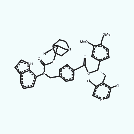 COc1ccc([C@H](Cc2c(Cl)cncc2Cl)OC(=O)c2ccc(CN(C(=O)O[C@H]3CN4CCC3CC4)c3cccc4cc[nH]c34)cc2)cc1OC